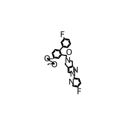 CS(=O)(=O)c1ccc(-c2cccc(F)c2)c(C(=O)N2Cc3cn(-c4ccc(F)cn4)nc3C2)c1